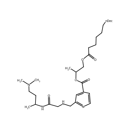 [CH2]C(COC(=O)CCCCCCCCCCCCCCC)OC(=O)c1ccnc(CNCC(=O)NC(C)CCN(C)C)c1